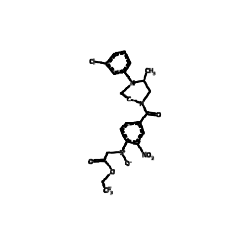 CC1CN(C(=O)c2ccc([S+]([O-])CC(=O)OCC(F)(F)F)c([N+](=O)[O-])c2)CCN1c1cccc(Cl)c1